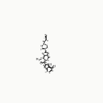 C[C@@H]1c2sc(N3CCN(CCC#N)CC3)nc2CCN1C(=O)c1nc2cccc(Cl)c2[nH]1